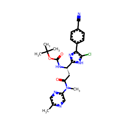 Cc1cnc(N(C)C(=O)C[C@H](NC(=O)OC(C)(C)C)c2nc(-c3ccc(C#N)cc3)c(Cl)[nH]2)cn1